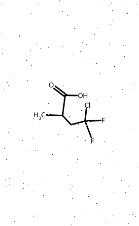 CC(CC(F)(F)Cl)C(=O)O